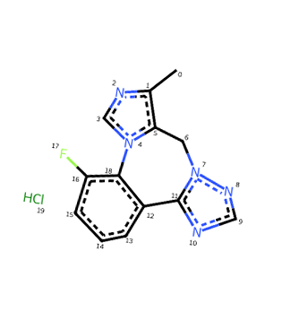 Cc1ncn2c1Cn1ncnc1-c1cccc(F)c1-2.Cl